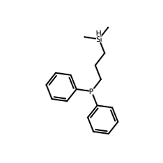 C[SiH](C)CCCP(c1ccccc1)c1ccccc1